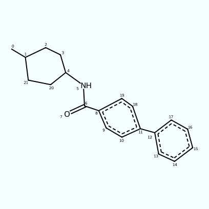 CC1CCC(NC(=O)c2ccc(-c3ccccc3)cc2)CC1